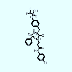 O=C(CCNC(=O)[C@H](Cc1ccc(OP(=O)(O)C(F)F)cc1)NS(=O)(=O)c1ccccc1)Nc1ccc(Cl)cc1